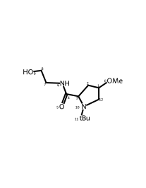 COC1CC(C(=O)NCCO)N(C(C)(C)C)C1